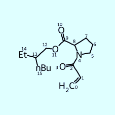 C=CC(=O)N1CCCC1C(=O)OCC(CC)CCCC